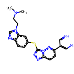 CN(C)CCn1cnc2ccc(Sc3nnc4ccc(/C(C=N)=C/N)nn34)cc21